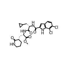 COC(=O)[C@H](C[C@@H]1CCCNC1=O)NC(=O)[C@H](CC1CC1)NC(=O)c1cc2ccc(Cl)c(Cl)c2[nH]1